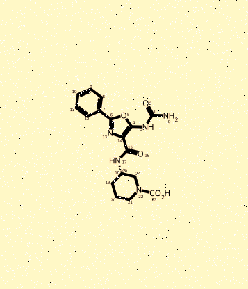 NC(=O)Nc1oc(-c2ccccc2)nc1C(=O)N[C@H]1CCCN(C(=O)O)C1